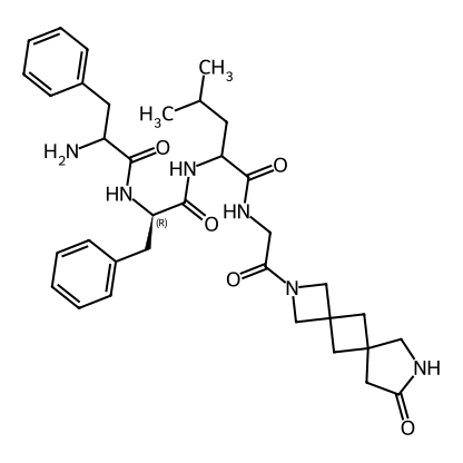 CC(C)CC(NC(=O)[C@@H](Cc1ccccc1)NC(=O)C(N)Cc1ccccc1)C(=O)NCC(=O)N1CC2(C1)CC1(CNC(=O)C1)C2